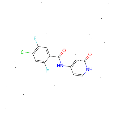 O=C(Nc1cc[nH]c(=O)c1)c1cc(F)c(Cl)cc1F